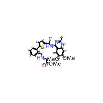 COC(=O)CNCc1ccccc1-c1ccc(C(C)Nc2nc(C)nc3cc(OC)c(OC)cc23)s1